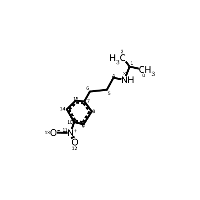 CC(C)NCCCc1ccc([N+](=O)[O-])cc1